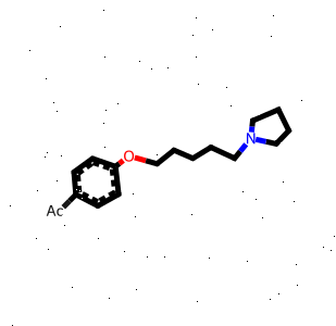 CC(=O)c1ccc(OCCCCCN2CCCC2)cc1